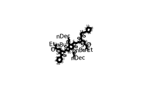 CCCCCCCCCCCCOc1c2cc(-c3sc(-c4ccc(-c5ccccc5)s4)c4cc(C(=O)C(CC)CCCC)sc34)sc2c(OCCCCCCCCCCCC)c2cc(-c3sc(-c4ccccc4)c4sc(C(=O)C(CC)CCCC)cc34)sc12